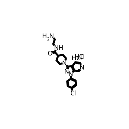 Cl.Cl.NCCNC(=O)C1CCN(c2nn(-c3ccc(Cl)cc3)c3cnccc23)CC1